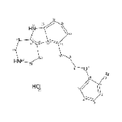 Brc1ccccc1OCCCc1cccc2[nH]c3c(c12)CCNCC3.Cl